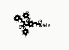 COC(=O)C=Cc1ccc(C2C(CCCc3ccccc3)C(=O)N2c2ccc(F)cc2)c(OCc2ccccc2)c1